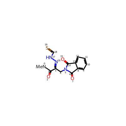 CNC(=O)/C(CN1C(=O)c2ccccc2C1=O)=N\NC=S